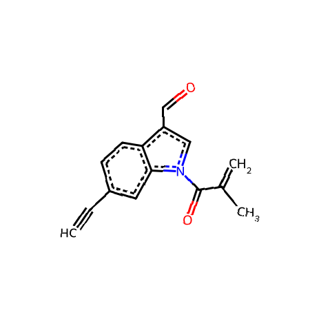 C#Cc1ccc2c(C=O)cn(C(=O)C(=C)C)c2c1